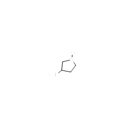 BC1CCN(C)C1